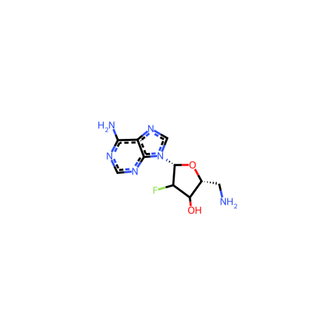 NC[C@H]1O[C@@H](n2cnc3c(N)ncnc32)C(F)C1O